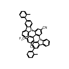 Cc1ccccc1-c1ccc2c(c1)c1ccccc1n2-c1cc(C#N)cc(-n2c3ccccc3c3cc(-c4ccccc4C)ccc32)c1-c1cc(C(F)(F)F)cc(C(F)(F)F)c1